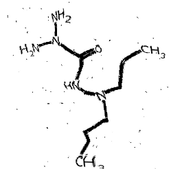 CCCN(CCC)NC(=O)N(N)N